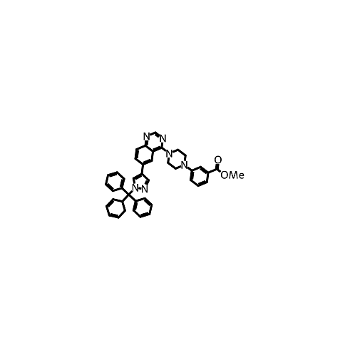 COC(=O)c1cccc(N2CCN(c3ncnc4ccc(-c5cnn(C(c6ccccc6)(c6ccccc6)C6C=CC=CC6)c5)cc34)CC2)c1